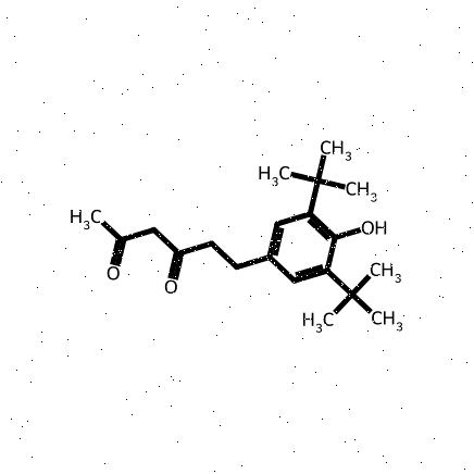 CC(=O)CC(=O)CCc1cc(C(C)(C)C)c(O)c(C(C)(C)C)c1